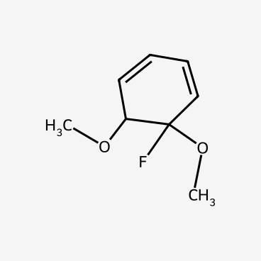 COC1C=CC=CC1(F)OC